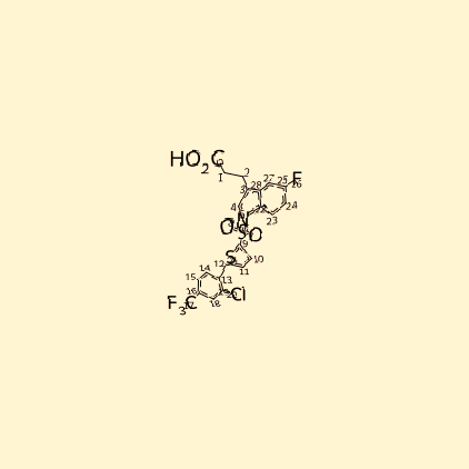 O=C(O)CCc1cn(S(=O)(=O)c2ccc(-c3ccc(C(F)(F)F)cc3Cl)s2)c2ccc(F)cc12